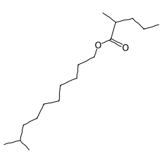 CCCC(C)C(=O)OCCCCCCCCC(C)C